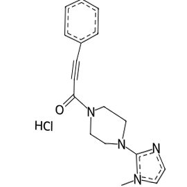 Cl.Cn1ccnc1N1CCN(C(=O)C#Cc2ccccc2)CC1